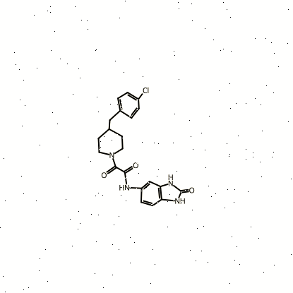 O=C(Nc1ccc2[nH]c(=O)[nH]c2c1)C(=O)N1CCC(Cc2ccc(Cl)cc2)CC1